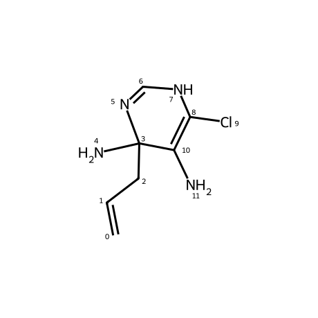 C=CCC1(N)N=CNC(Cl)=C1N